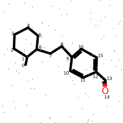 CC1CCCCC1CCc1ccc(C=O)cc1